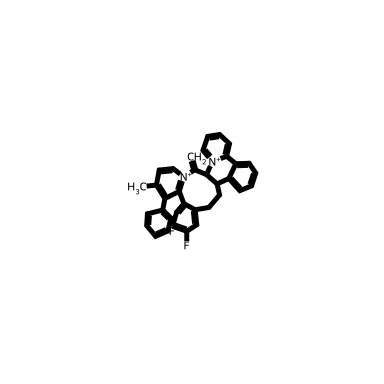 C=C1C2C(CCc3cc(F)c(F)cc3-c3c(-c4ccccc4)c(C)cc[n+]31)c1ccccc1-c1cccc[n+]12